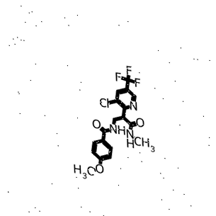 CNC(=O)C(CNC(=O)c1ccc(OC)cc1)c1ncc(C(F)(F)F)cc1Cl